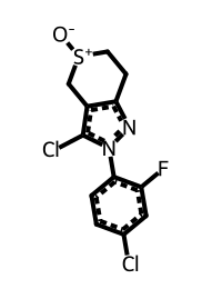 [O-][S+]1CCc2nn(-c3ccc(Cl)cc3F)c(Cl)c2C1